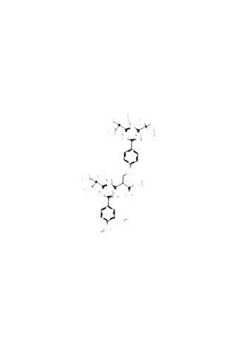 COc1ccc(-c2nc(C(CSc3ccc(-c4nc(C(Cl)(Cl)Cl)nc(C(Cl)(Cl)Cl)n4)cc3)C(=O)O)nc(C(Cl)(Cl)Cl)n2)cc1OC